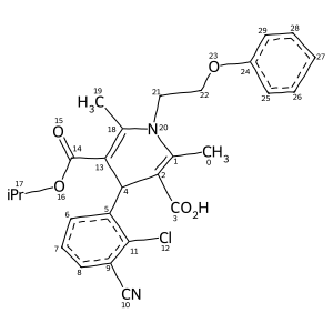 CC1=C(C(=O)O)C(c2cccc(C#N)c2Cl)C(C(=O)OC(C)C)=C(C)N1CCOc1ccccc1